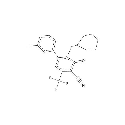 Cc1cccc(-c2cc(C(F)(F)F)c(C#N)c(=O)n2CC2CCCCC2)c1